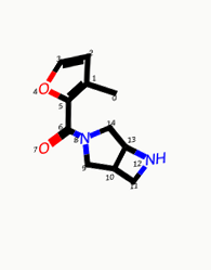 Cc1ccoc1C(=O)N1CC2CNC2C1